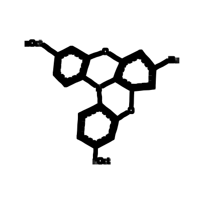 CCCCCCCCc1ccc2c(c1)Oc1cc(C(C)CC)cc3c1N2c1ccc(CCCCCCCC)cc1O3